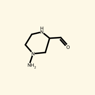 NN1CCNC(C=O)C1